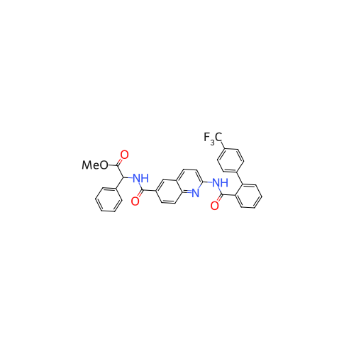 COC(=O)C(NC(=O)c1ccc2nc(NC(=O)c3ccccc3-c3ccc(C(F)(F)F)cc3)ccc2c1)c1ccccc1